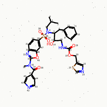 CC(C)CN(C(Cc1ccccc1)C(O)CNC(=O)OCc1cncs1)S(=O)(=O)c1ccc2nc(N(C)C(=O)c3ccncc3)oc2c1